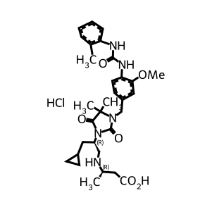 COc1cc(CN2C(=O)N([C@@H](CN[C@H](C)CC(=O)O)CC3CC3)C(=O)C2(C)C)ccc1NC(=O)Nc1ccccc1C.Cl